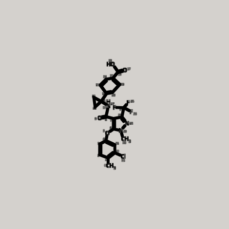 Cc1ccc(Oc2c(C(=O)NC3(c4ccc(C(=O)O)cc4)CC3)c(C(F)(F)F)nn2C)cc1Cl